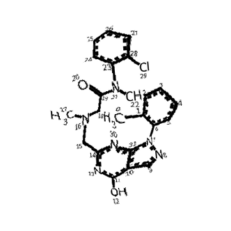 Cc1ccccc1-n1ncc2c(O)nc(CN(C)CC(=O)N(C)c3ccccc3Cl)nc21